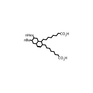 CCCCCCC1CC2C(C=CC(CCCCCCCC(=O)O)C2CCCCCCCC(=O)O)CC1CCCC